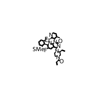 C=CC(=O)N1CCN(c2nc(=O)n(-c3c(C)ccnc3CC)c3nc(-c4c(F)cccc4SC)c(F)cc23)C(C=C)C1